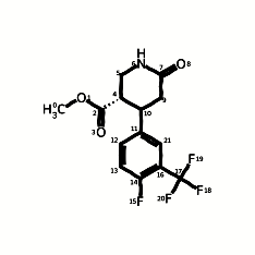 COC(=O)[C@@H]1CNC(=O)CC1c1ccc(F)c(C(F)(F)F)c1